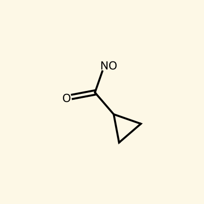 O=NC(=O)C1CC1